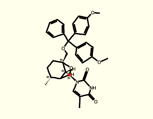 COc1ccc(C(OC[C@@]23CC[C@@H](C)C([C@H](n4cc(C)c(=O)[nH]c4=O)O2)[C@H]3O)(c2ccccc2)c2ccc(OC)cc2)cc1